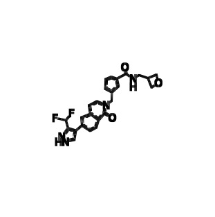 O=C(NCC1COC1)c1cccc(Cn2ccc3cc(-c4c[nH]nc4C(F)F)ccc3c2=O)c1